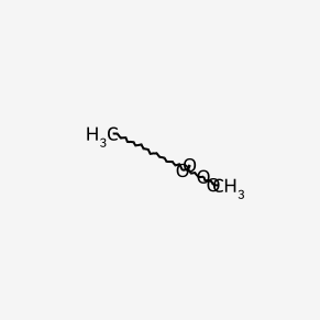 CCCCCCCCCCCCCCCCCCOC(=O)CCCOCCOC